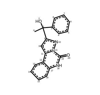 CC(O)(c1ccccc1)c1cc2c3ccccc3[nH]c(=O)n2n1